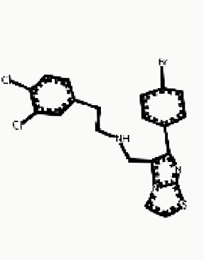 Clc1ccc(CCNCc2c(-c3ccc(Br)cc3)nc3sccn23)cc1Cl